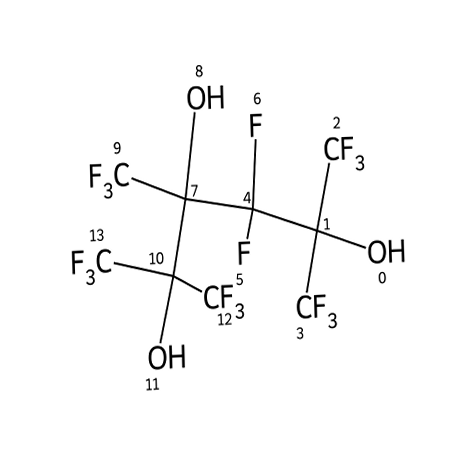 OC(C(F)(F)F)(C(F)(F)F)C(F)(F)C(O)(C(F)(F)F)C(O)(C(F)(F)F)C(F)(F)F